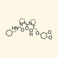 O=C(NCc1ccccc1)N1CCC[C@H]1C(=O)N1CCC[C@H]1C(O)COc1ccc2c(c1)OCO2